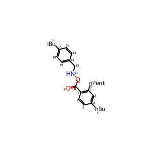 CCCCCc1cc(CCCC)ccc1C(=O)ONCc1ccc(C(C)CC)cc1